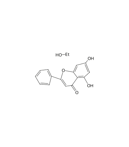 CCO.O=c1cc(-c2ccccc2)oc2cc(O)cc(O)c12